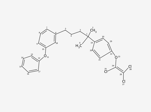 CC(C)(CCCc1cccc(Oc2ccccc2)c1)c1ccc(OC(Cl)=C(Cl)Cl)cc1